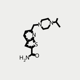 CC(C)N1CCN(Cc2ccc3cc(C(N)=O)sc3n2)CC1